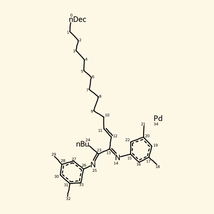 CCCCCCCCCCCCCCCCCCCC/C=C/C(=N\c1cc(C)cc(C)c1)C(/CCCC)=N/c1cc(C)cc(C)c1.[Pd]